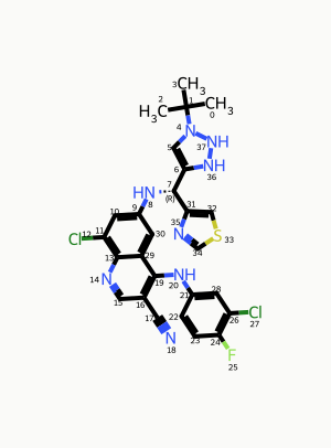 CC(C)(C)N1C=C([C@@H](Nc2cc(Cl)c3ncc(C#N)c(Nc4ccc(F)c(Cl)c4)c3c2)c2cscn2)NN1